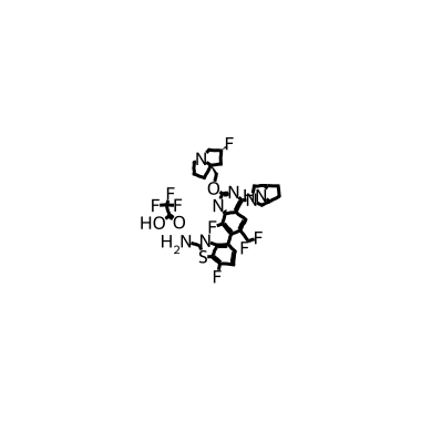 Nc1nc2c(-c3c(C(F)F)cc4c(N5CC6CCC(C5)N6)nc(OC[C@@]56CCCN5C[C@H](F)C6)nc4c3F)ccc(F)c2s1.O=C(O)C(F)(F)F